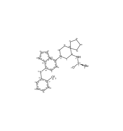 CC(C)(C)[S@@+]([O-])NC1CN(c2ncc(Sc3cncnc3C(F)(F)F)c3nccn23)CCC12CCCC2